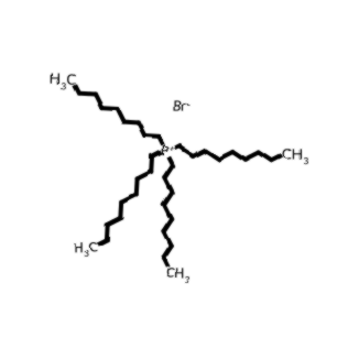 CCCCCCCCC[P+](CCCCCCCCC)(CCCCCCCCC)CCCCCCCCC.[Br-]